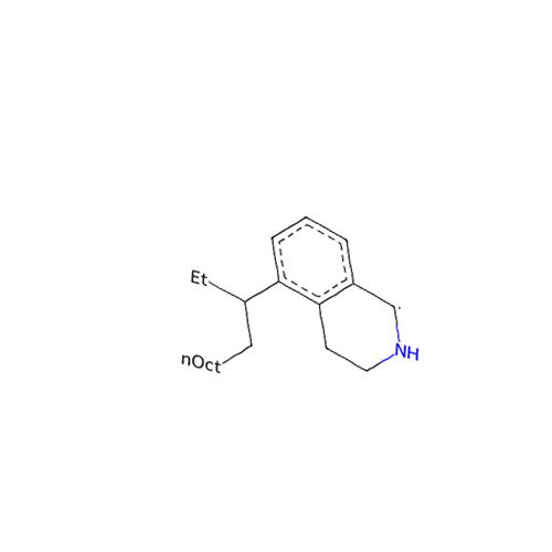 CCCCCCCCCC(CC)c1cccc2c1CCN[CH]2